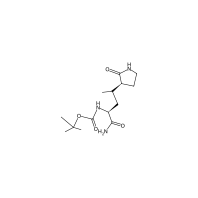 CC(C[C@H](NC(=O)OC(C)(C)C)C(N)=O)[C@@H]1CCNC1=O